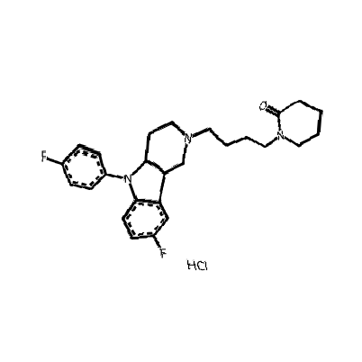 Cl.O=C1CCCCN1CCCCN1CCC2C(C1)c1cc(F)ccc1N2c1ccc(F)cc1